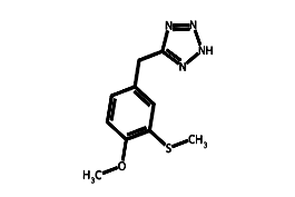 COc1ccc(Cc2nn[nH]n2)cc1SC